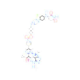 Cc1nc(-c2c(-c3nn(C(C)C)c4ncnc(N)c34)noc2C2CC2)ncc1C1CCN(C(=O)OC2CC3(CC(CN4CCN(c5ccc(NC6CCC(=O)NC6=O)cc5F)CC4)C3)C2)CC1